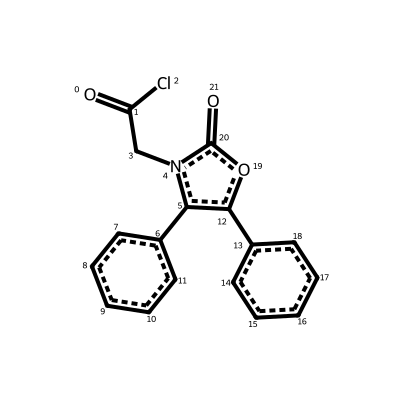 O=C(Cl)Cn1c(-c2ccccc2)c(-c2ccccc2)oc1=O